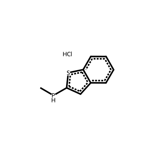 CPc1cc2ccccc2s1.Cl